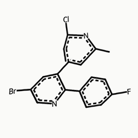 Cc1cc(-c2cc(Br)cnc2-c2ccc(F)cc2)cc(Cl)n1